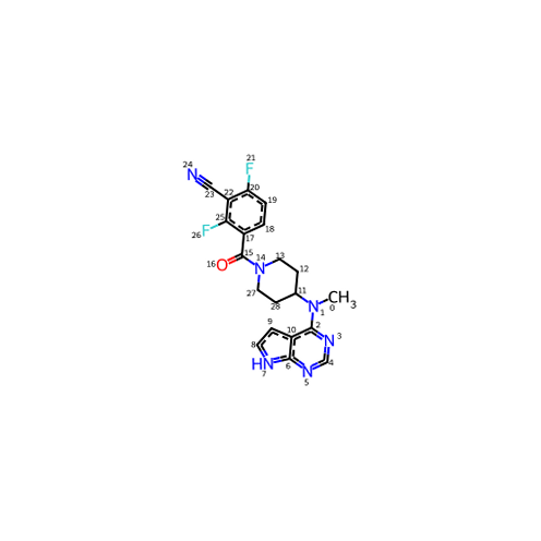 CN(c1ncnc2[nH]ccc12)C1CCN(C(=O)c2ccc(F)c(C#N)c2F)CC1